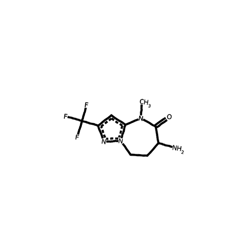 CN1C(=O)C(N)CCn2nc(C(F)(F)F)cc21